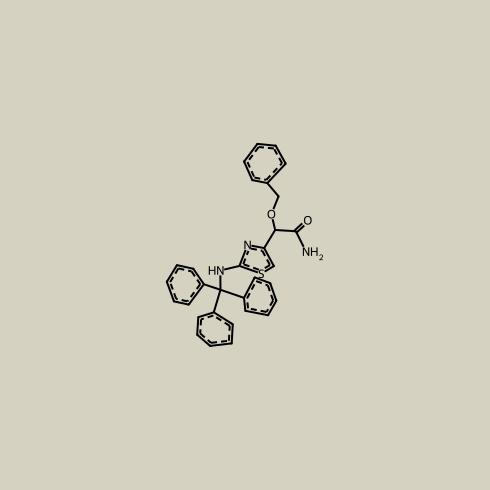 NC(=O)C(OCc1ccccc1)c1csc(NC(c2ccccc2)(c2ccccc2)c2ccccc2)n1